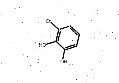 C[CH]c1cccc(O)c1O